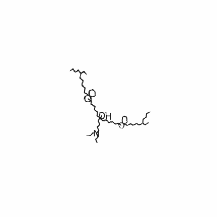 CCCCC(CC)CCCCCC(=O)OCCCCCCC(O)(CCCCCCOC(=O)CCCCCC(CC)CCCC)CCCCN(CCC)CCC